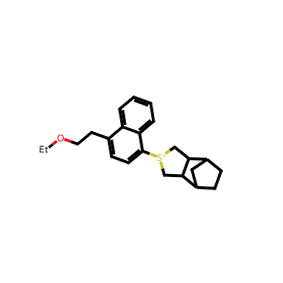 CCOCCc1ccc([S+]2CC3C4CCC(C4)C3C2)c2ccccc12